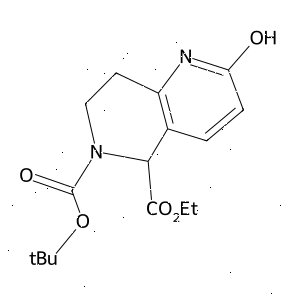 CCOC(=O)C1c2ccc(O)nc2CCN1C(=O)OC(C)(C)C